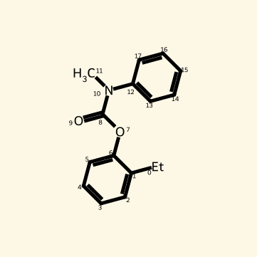 CCc1ccccc1OC(=O)N(C)c1ccccc1